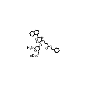 CCCCCCCCCCCCC[C@@H](CC(N)=O)OC(=O)[C@H](CCCC(=O)OCc1ccccc1)NC(=O)c1cccc2ccccc12